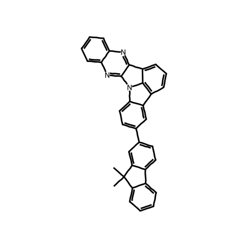 CC1(C)c2ccccc2-c2ccc(-c3ccc4c(c3)c3cccc5c6nc7ccccc7nc6n4c35)cc21